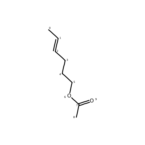 C/C=C/CCCOC(C)=O